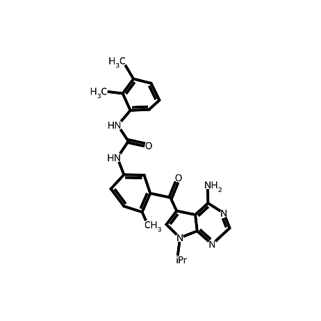 Cc1ccc(NC(=O)Nc2cccc(C)c2C)cc1C(=O)c1cn(C(C)C)c2ncnc(N)c12